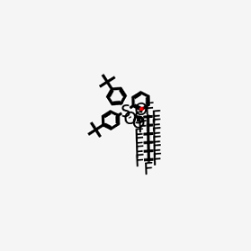 CC(C)(C)c1ccc(S(OS(=O)(=O)C(F)(F)C(F)(F)C(F)(F)C(F)(F)C(F)(F)C(F)(F)F)(c2ccccc2)c2ccc(C(C)(C)C)cc2)cc1